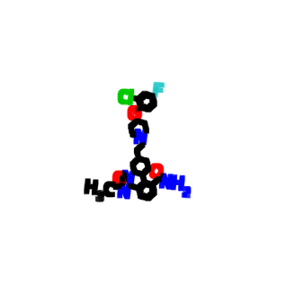 Cc1nc(-c2cccc(C(N)=O)c2C2CCC(CCN3CCC(Oc4ccc(F)cc4Cl)CC3)CC2)no1